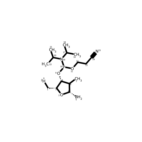 [2H]C[C@H]1O[C@@H](B)C(C)[C@H]1OP(OCCC#N)N(C(C)C)C(C)C